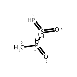 C[PH](=O)[SH](=O)=P